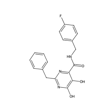 O=C(NCc1ccc(F)cc1)c1nc(Cc2ccccc2)nc(O)c1O